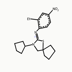 CCc1cc([N+](=O)[O-])ccc1/N=C1\SC2(CCCC2)CN1C1CCCC1